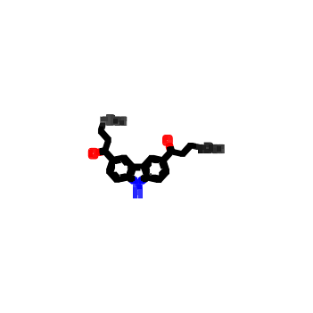 CCCCCCCCCCCCC(=O)c1ccc2[nH]c3ccc(C(=O)CCCCCCCCCCCC)cc3c2c1